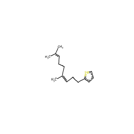 CC(C)=CCCC(C)=CCCc1cccs1